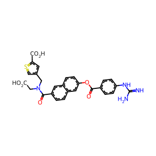 N=C(N)Nc1ccc(C(=O)Oc2ccc3cc(C(=O)N(CC(=O)O)Cc4csc(C(=O)O)c4)ccc3c2)cc1